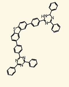 c1ccc(C2=NC(c3ccccc3)NC(c3ccc(-c4ccc5sc6ccc(-c7ccc(-c8nc(-c9ccccc9)nc(-c9ccccc9)n8)cc7)cc6c5c4)cc3)=N2)cc1